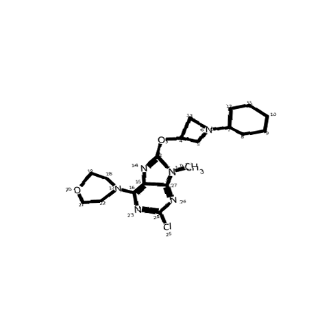 Cn1c(OC2CN(C3CCCCC3)C2)nc2c(N3CCOCC3)nc(Cl)nc21